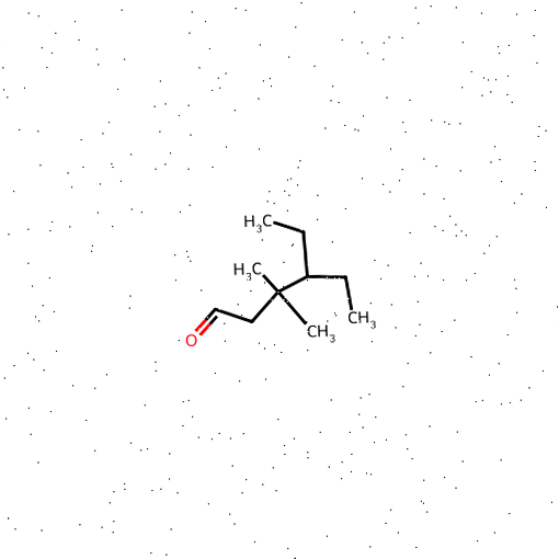 CC[C](CC)C(C)(C)CC=O